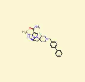 CNc1nn(C2(CC#N)CCN(Cc3ccc(-c4ccccc4)cc3)CC2F)cc1C(N)=O